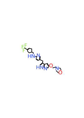 FC(F)(F)C1=CCC(CNc2ccc(Cc3c[nH]c4ncc(OCCN5CCOCC5)cc34)cn2)CC1